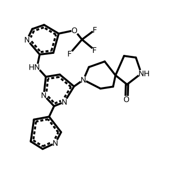 O=C1NCCC12CCN(c1cc(Nc3cc(OC(F)(F)F)ccn3)nc(-c3cccnc3)n1)CC2